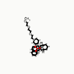 COCCOCCOCCN1CCC[C@H](c2nc3ccccc3n2[C@@H]2C[C@H]3CCC[C@@H](C2)N3[C@@H]2C[C@@H]3CCC[C@@H](C3)C2)C1